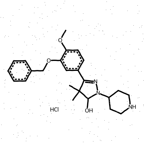 COc1ccc(C2=NN(C3CCNCC3)C(O)C2(C)C)cc1OCc1ccccc1.Cl